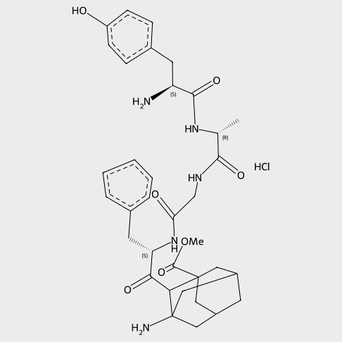 COC(=O)C12CC3CC(CC(N)(C3)C1C(=O)[C@H](Cc1ccccc1)NC(=O)CNC(=O)[C@@H](C)NC(=O)[C@@H](N)Cc1ccc(O)cc1)C2.Cl